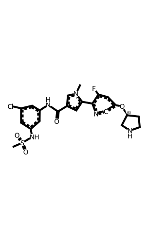 Cn1cc(C(=O)Nc2cc(Cl)cc(NS(C)(=O)=O)c2)cc1-c1ncc(O[C@H]2CCNC2)cc1F